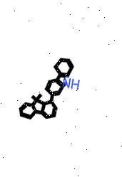 CC1(C)C2C=CC=CC2C2=CC=CC(c3ccc4c5c([nH]c4c3)C=CCC5)C21